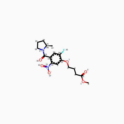 COC(=O)CCCOc1cc([N+](=O)[O-])c(C(=O)N2CCC[C@H]2C)cc1F